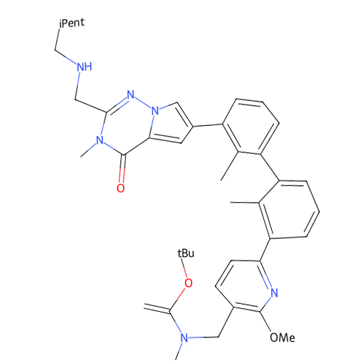 C=C(OC(C)(C)C)N(C)Cc1ccc(-c2cccc(-c3cccc(-c4cc5c(=O)n(C)c(CNCC(C)CCC)nn5c4)c3C)c2C)nc1OC